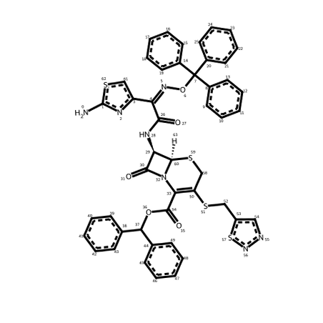 Nc1nc(/C(=N/OC(c2ccccc2)(c2ccccc2)c2ccccc2)C(=O)N[C@@H]2C(=O)N3C(C(=O)OC(c4ccccc4)c4ccccc4)=C(SCc4cnns4)CS[C@H]23)cs1